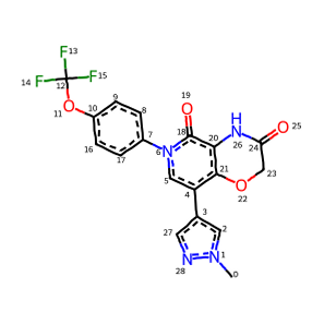 Cn1cc(-c2cn(-c3ccc(OC(F)(F)F)cc3)c(=O)c3c2OCC(=O)N3)cn1